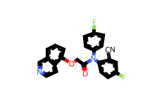 N#Cc1cc(F)ccc1N(C(=O)COc1cccc2cnccc12)c1ccc(F)cc1